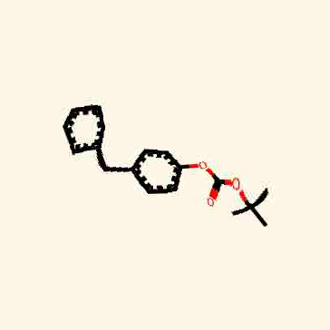 CC(C)(C)OC(=O)Oc1ccc(Cc2ccccc2)cc1